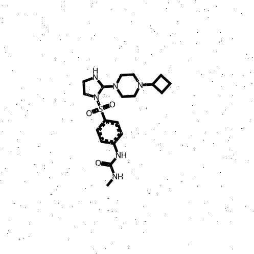 CNC(=O)Nc1ccc(S(=O)(=O)N2CCNC2N2CCN(C3CCC3)CC2)cc1